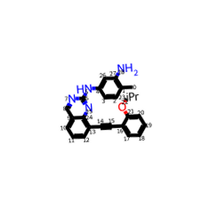 Cc1ccc(Nc2ncc3cccc(C#Cc4ccccc4OC(C)C)c3n2)cc1N